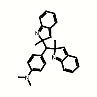 CN(C)c1ccc(C(C2(C)C=c3ccccc3=N2)C2(C)C=c3ccccc3=N2)cc1